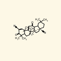 CC1(C)CC[C@]2(C#N)CC[C@]3(C)C(C(=O)C=C4[C@@]5(C)C=C(C#N)C(=O)C(C)(C)C5CC[C@]43C)C2C1